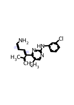 C=C(C)/C(=C\C=C/N)c1nc(Nc2cccc(Cl)c2)ncc1C